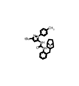 Cc1ccc(-n2nc(C(C)(C)C)cc2NC(=O)Nc2ccccc2CC2CC3CCC(C2)N3)cc1